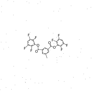 Cc1cc(C(=O)Oc2c(F)c(F)cc(F)c2F)cc(C(=O)Oc2c(F)c(F)cc(F)c2F)c1